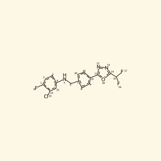 Fc1ccc(NCc2ccc(-c3nnc(C(F)F)o3)cc2)cc1Cl